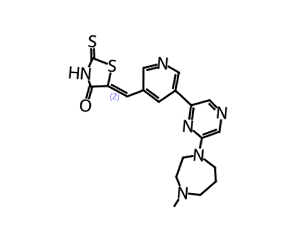 CN1CCCN(c2cncc(-c3cncc(/C=C4\SC(=S)NC4=O)c3)n2)CC1